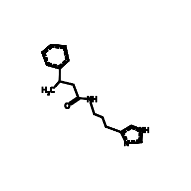 CC(CC(=O)NCCCc1c[nH]cn1)c1ccccc1